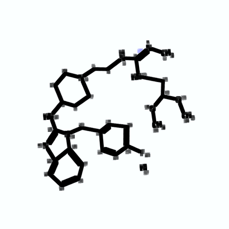 C/N=C(/NCCN1CCC(Nc2nc3ccccc3n2Cc2ccc(F)cc2)CC1)NCC(OC)OC.I